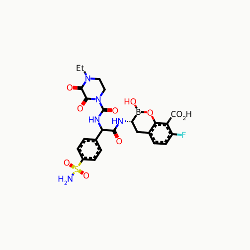 CCN1CCN(C(=O)NC(C(=O)N[C@H]2Cc3ccc(F)c(C(=O)O)c3OB2O)c2ccc(S(N)(=O)=O)cc2)C(=O)C1=O